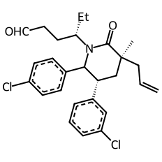 C=CC[C@@]1(C)C[C@H](c2cccc(Cl)c2)C(c2ccc(Cl)cc2)N([C@@H](CC)CCC=O)C1=O